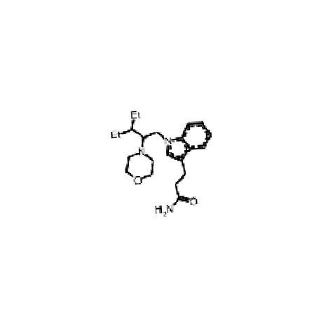 CCC(CC)C(Cn1cc(CCC(N)=O)c2ccccc21)N1CCOCC1